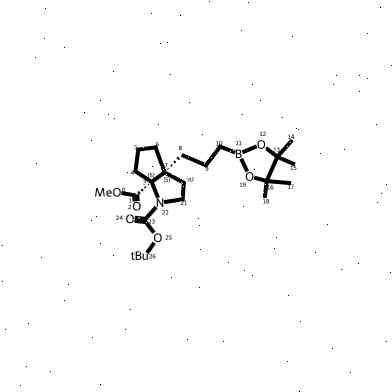 COC(=O)[C@]12CCC[C@@]1(CCCB1OC(C)(C)C(C)(C)O1)CCN2C(=O)OC(C)(C)C